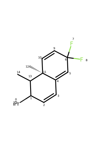 CC(C)C1C=CC2=CC(F)(F)C=C[C@]2(C)C1C